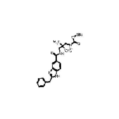 CC(C)(CNC(=O)OC(C)(C)C)CNC(=O)c1ccc2[nH]c(Cc3ccccc3)nc2c1